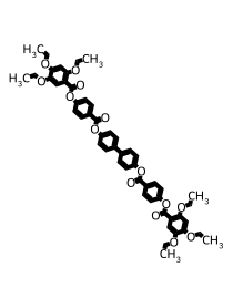 CCOc1cc(OCC)c(C(=O)Oc2ccc(C(=O)Oc3ccc(-c4ccc(OC(=O)c5ccc(OC(=O)c6cc(OCC)c(OCC)cc6OCC)cc5)cc4)cc3)cc2)cc1OCC